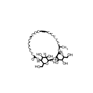 CC1CCCCC/C=C\CCCCCCCCCC(=O)O[C@@H]2C(CO)O[C@@H](O[C@H]3C(O)[C@H](O)C(CO)O[C@H]3O1)[C@@H](O)C2O